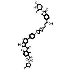 O=C1CC[C@H](N2Cc3cc([C@@H](O)CCN4CC5(C4)CN(c4ccc(-c6cnc7[nH]cc(C(=O)c8c(F)ccc(NS(=O)(=O)N9CC[C@@H](F)C9)c8F)c7c6)cc4)C5)ccc3C2=O)C(=O)N1